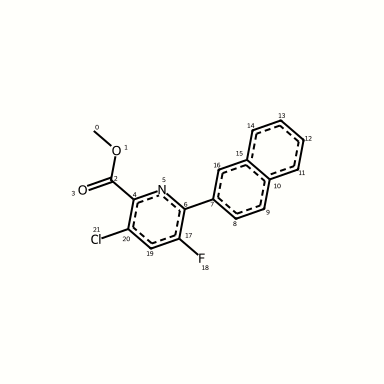 COC(=O)c1nc(-c2ccc3ccccc3c2)c(F)cc1Cl